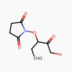 [O]CC(=O)C(C[C]=O)ON1C(=O)CCC1=O